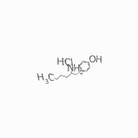 CCCC[C@@H](N)Cc1ccc(O)cc1.Cl